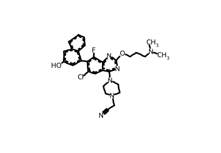 CN(C)CCCOc1nc(N2CCN(CC#N)CC2)c2cc(Cl)c(-c3cc(O)cc4ccccc34)c(F)c2n1